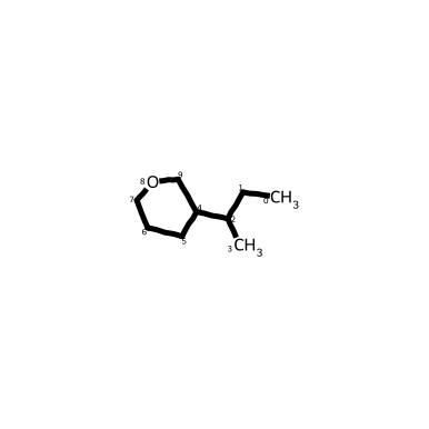 CCC(C)C1CCCOC1